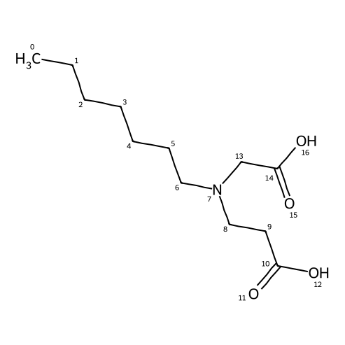 CCCCCCCN(CCC(=O)O)CC(=O)O